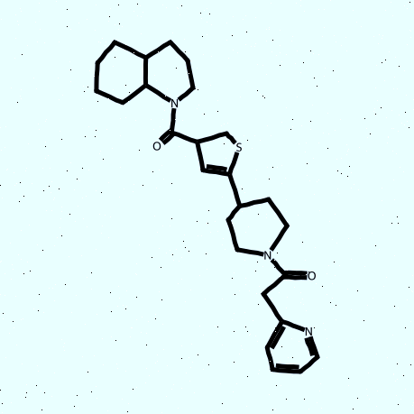 O=C(Cc1ccccn1)N1CCC(C2=CC(C(=O)N3CCCC4CCCCC43)CS2)CC1